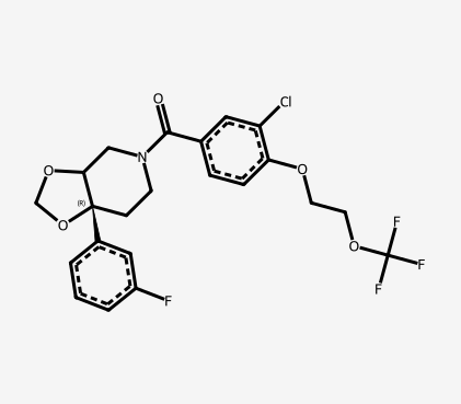 O=C(c1ccc(OCCOC(F)(F)F)c(Cl)c1)N1CC[C@]2(c3cccc(F)c3)OCOC2C1